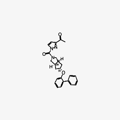 CC(=O)c1ccn(C(=O)N2C[C@H]3C[C@H](Oc4ccccc4-c4ccccc4)C[C@H]3C2)n1